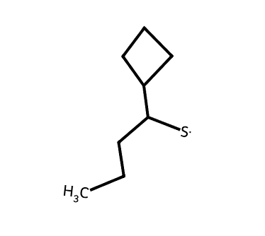 CCCC([S])C1CCC1